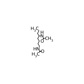 CCCC(CCCCNC(C)=O)NC(C)=O